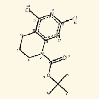 CC(C)(C)OC(=O)N1CCCc2c(Cl)nc(Cl)nc21